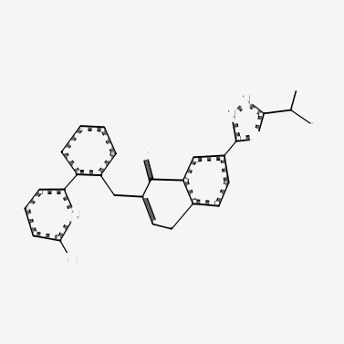 O=C1C(Cc2ccccc2-c2cccc(Cl)n2)=CCc2ccc(-c3nnc(C(F)F)o3)cc21